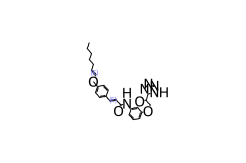 CCCCC/C=C/Oc1ccc(/C=C/C(=O)Nc2cccc3c2OC(c2nnn[nH]2)CO3)cc1